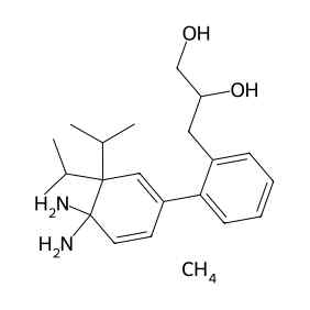 C.CC(C)C1(C(C)C)C=C(c2ccccc2CC(O)CO)C=CC1(N)N